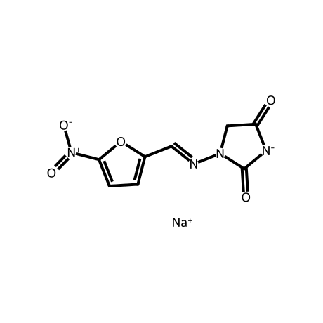 O=C1CN(/N=C/c2ccc([N+](=O)[O-])o2)C(=O)[N-]1.[Na+]